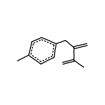 C=C(C)C(=C)Cc1ccc(C)cc1